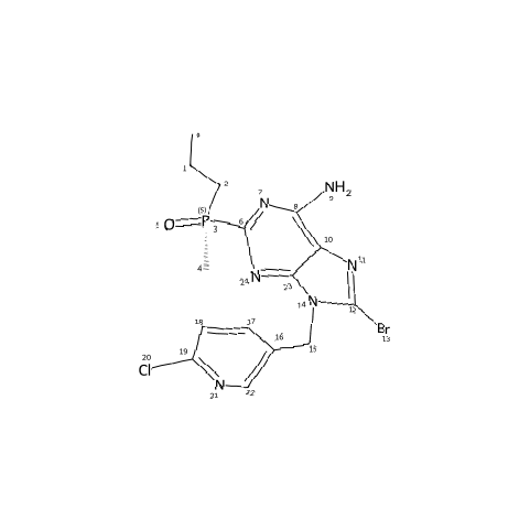 CCC[P@](C)(=O)c1nc(N)c2nc(Br)n(Cc3ccc(Cl)nc3)c2n1